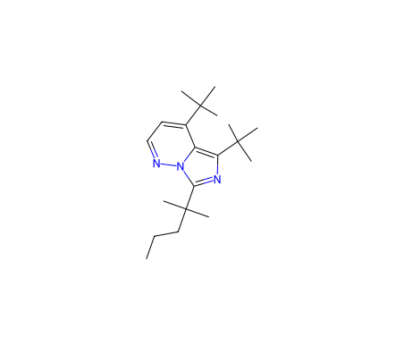 CCCC(C)(C)c1nc(C(C)(C)C)c2c(C(C)(C)C)ccnn12